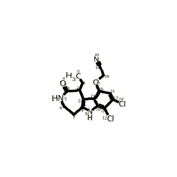 CCC1C(=O)NCCc2[nH]c3c(Cl)c(Cl)cc(OCC#N)c3c21